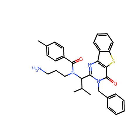 Cc1ccc(C(=O)N(CCCN)C(c2nc3c(sc4ccccc43)c(=O)n2Cc2ccccc2)C(C)C)cc1